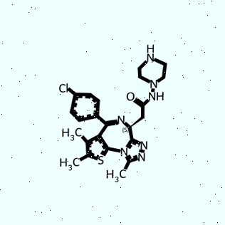 Cc1sc2c(c1C)C(c1ccc(Cl)cc1)=N[C@@H](CC(=O)NN1CCNCC1)c1nnc(C)n1-2